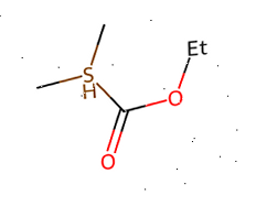 CCOC(=O)[SH](C)C